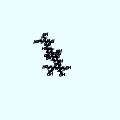 O=S(=O)(O)c1cc(Nc2nc(Cl)nc(N(CCO)CCO)n2)ccc1C=Cc1ccc(Nc2nc(N(CCO)CCO)nc(N(CCO)CCO)n2)cc1S(=O)(=O)O